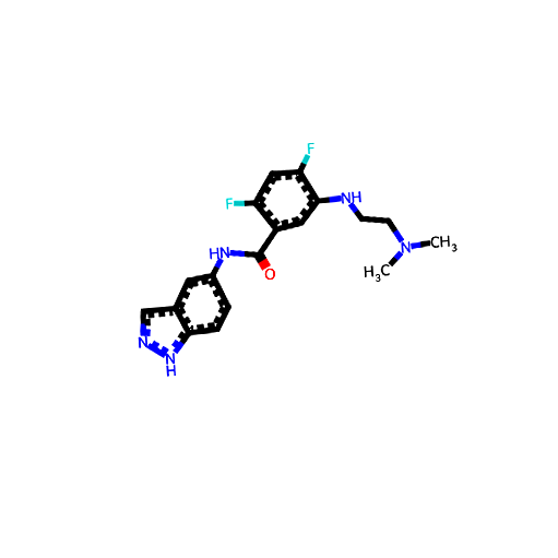 CN(C)CCNc1cc(C(=O)Nc2ccc3[nH]ncc3c2)c(F)cc1F